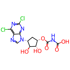 O=C(O)NC(=O)O[C@H]1C[C@@H](n2cnc3c(Cl)nc(Cl)nc32)[C@H](O)[C@H]1O